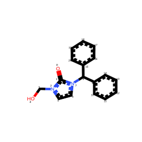 O=c1n(CO)ccn1C(c1ccccc1)c1ccccc1